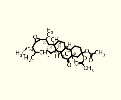 CC[C@@H](C(C)C)C1OC1[C@@H](C)[C@H]1CC[C@H]2[C@@H]3CC(=O)[C@H]4CC(OC(C)=O)(OC(C)=O)CC[C@]4(C)[C@H]3CC[C@]12C